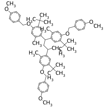 COc1ccc(COc2cc(C)c(C(C)CC(c3cc(C(C)(C)C)c(OCc4ccc(OC)cc4)cc3C)c3cc(C(C)(C)C)c(OCc4ccc(OC)cc4)cc3C)cc2C(C)(C)C)cc1